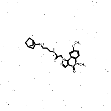 COc1ccc2c(c1)c1c(cnn1CC(=O)NCCCNC1CC3CCC1C3)c(=O)n2C